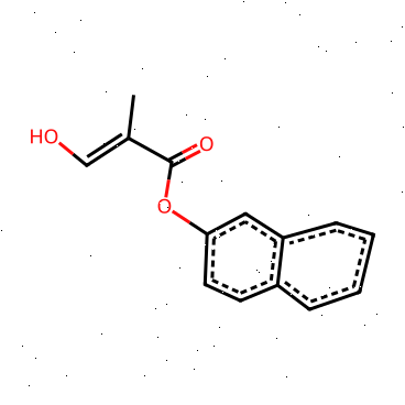 CC(=CO)C(=O)Oc1ccc2ccccc2c1